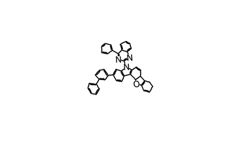 C1=CC2=C(CC1)C1C=Cc3c(c4ccc(-c5cccc(-c6ccccc6)c5)cc4n3-c3nc(-c4ccccc4)c4ccccc4n3)C1O2